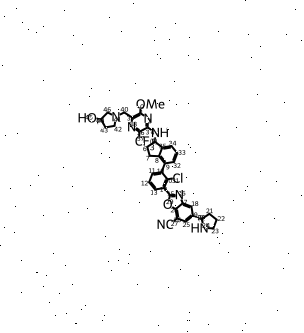 COc1nc(N[C@@H]2CCc3c(-c4cccc(-c5nc6cc([C@H]7CCCN7)cc(C#N)c6o5)c4Cl)cccc32)c(C(F)(F)F)nc1CN1CC[C@@H](O)C1